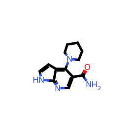 NC(=O)c1cnc2[nH]ccc2c1N1CCCCC1